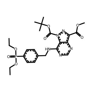 CCOP(=O)(OCC)c1ccc(CNc2ncnc3c(C(=O)OC)nn(C(=O)OC(C)(C)C)c23)cc1